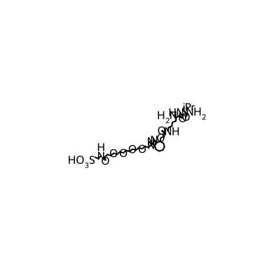 CC(C)C(NC(=O)[C@H](N)CCCCNC(=O)COC1CCCCCc2c1nnn2CCOCCOCCOCCOCCC(=O)NCCS(=O)(=O)O)C(N)=O